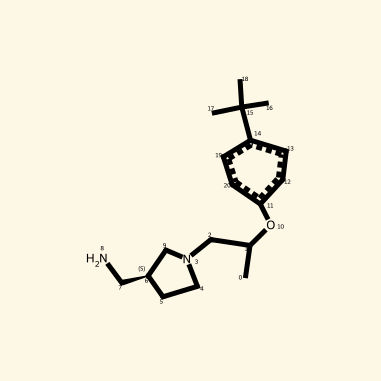 CC(CN1CC[C@@H](CN)C1)Oc1ccc(C(C)(C)C)cc1